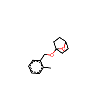 Cc1ccccc1COC12CCC(CC1)O2